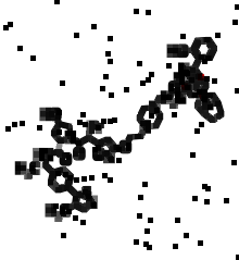 Cc1cnsc1-c1ccc([C@H](C)NC(=O)[C@@H]2C[C@@H](O)CN2C(=O)[C@H](c2cc(OCCN3CCN(CCOc4cc(N5C6CCC5CN(c5cc(-c7ccccc7O)nnc5N)C6)ccn4)CC3)no2)C(C)C)cc1